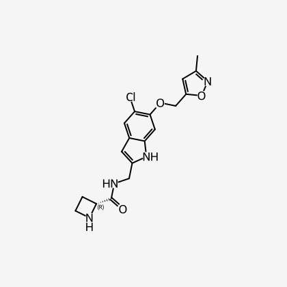 Cc1cc(COc2cc3[nH]c(CNC(=O)[C@H]4CCN4)cc3cc2Cl)on1